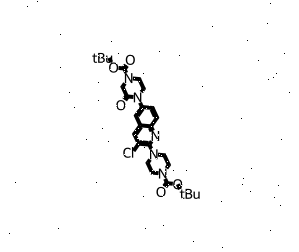 CC(C)(C)OC(=O)N1CCN(c2nc3ccc(N4CCN(C(=O)OC(C)(C)C)CC4=O)cc3cc2Cl)CC1